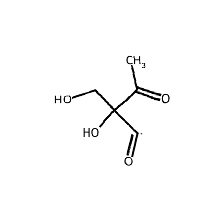 CC(=O)C(O)([C]=O)CO